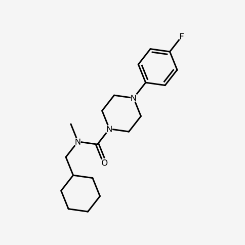 CN(CC1CCCCC1)C(=O)N1CCN(c2ccc(F)cc2)CC1